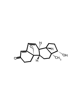 C[C@]12CC[C@H]3[C@@H](C=CC4=CC(=O)CC[C@@]43C=O)[C@@H]1CC[C@@H]2O